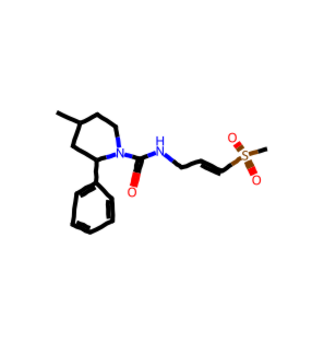 CC1CCN(C(=O)NC/C=C/S(C)(=O)=O)C(c2ccccc2)C1